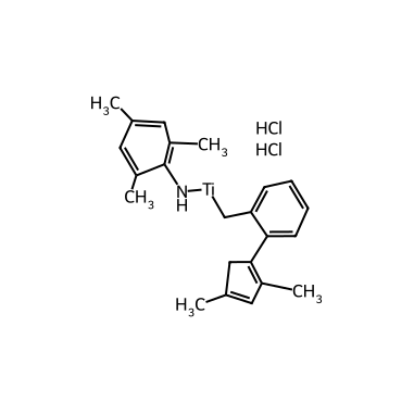 CC1=CC(C)=C(c2ccccc2[CH2][Ti][NH]c2c(C)cc(C)cc2C)C1.Cl.Cl